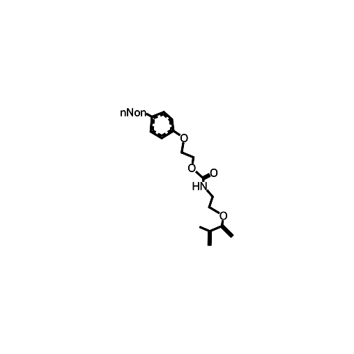 C=C(C)C(=C)OCCNC(=O)OCCOc1ccc(CCCCCCCCC)cc1